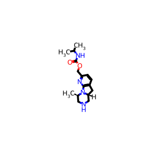 CC(C)NC(=O)OCc1ccc2c(n1)N1[C@@H](CNC[C@H]1C)C2